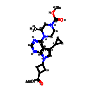 COC(=O)C1CC(n2cc(C3CC3)c3c(N4CCN(C(=O)OC(C)(C)C)CC4C)ncnc32)C1